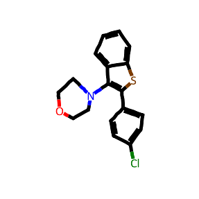 Clc1ccc(-c2sc3ccccc3c2N2CCOCC2)cc1